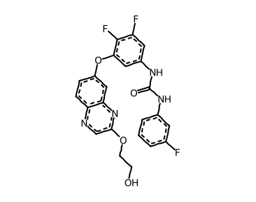 O=C(Nc1cccc(F)c1)Nc1cc(F)c(F)c(Oc2ccc3ncc(OCCO)nc3c2)c1